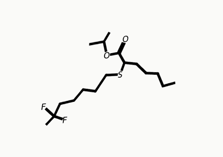 CCCCCC(SCCCCCC(C)(F)F)C(=O)OC(C)C